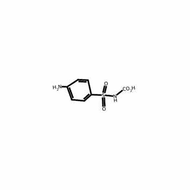 Nc1ccc(S(=O)(=O)NC(=O)O)cc1